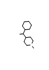 CN1CCC(C(N)C2CCCCC2)CC1